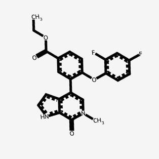 CCOC(=O)c1ccc(Oc2ccc(F)cc2F)c(-c2cn(C)c(=O)c3[nH]ccc23)c1